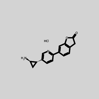 Cl.N[C@@H]1C[C@H]1c1ccc(-c2ccc3c(c2)OC(=O)C3)nc1